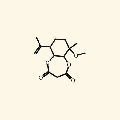 C=C(C)C1CCC(C)(OC)C2OC(=O)CC(=O)OC12